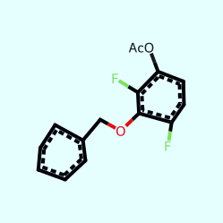 CC(=O)Oc1ccc(F)c(OCc2ccccc2)c1F